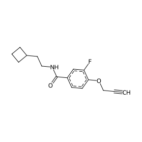 C#CCOc1ccc(C(=O)NCCC2CCC2)cc1F